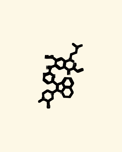 C=CC(=O)Nc1cc(Nc2nccc(-c3c(N4CCN(C)C(=O)C4)n4c5c(cccc35)CCC4)n2)c(OC)cc1N(C)CCN(C)C